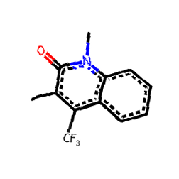 Cc1c(C(F)(F)F)c2ccccc2n(C)c1=O